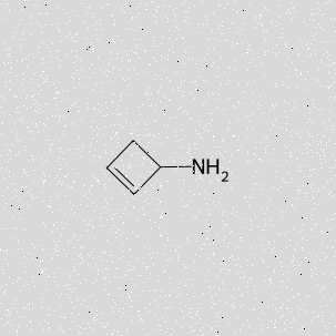 NC1C=CC1